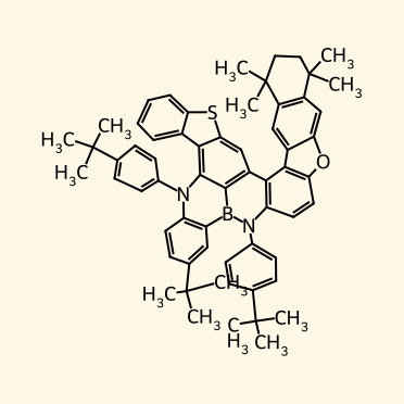 CC(C)(C)c1ccc(N2B3c4cc(C(C)(C)C)ccc4N(c4ccc(C(C)(C)C)cc4)c4c3c(cc3sc5ccccc5c43)-c3c2ccc2oc4cc5c(cc4c32)C(C)(C)CCC5(C)C)cc1